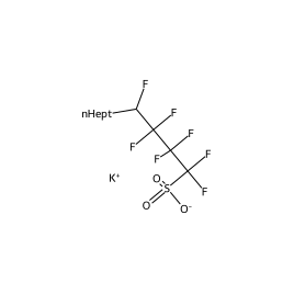 CCCCCCCC(F)C(F)(F)C(F)(F)C(F)(F)S(=O)(=O)[O-].[K+]